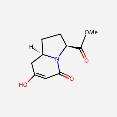 COC(=O)[C@@H]1CC[C@@H]2CC(O)=CC(=O)N21